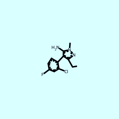 CCc1nn(C)c(N)c1-c1ccc(F)cc1Cl